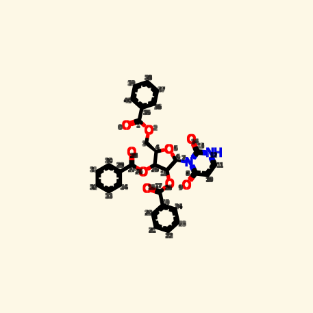 O=C(OC[C@H]1O[C@@H](n2c(=O)cc[nH]c2=O)C(OC(=O)c2ccccc2)C1OC(=O)c1ccccc1)c1ccccc1